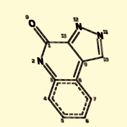 O=C1N=c2ccccc2=C2C=NN=C12